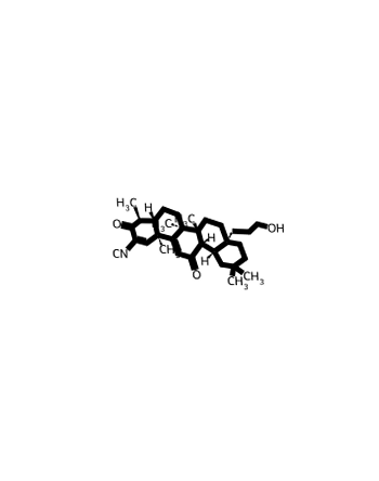 [C-]#[N+]C1=C[C@]2(C)C3=CC(=O)[C@@H]4[C@@H]5CC(C)(C)CC[C@]5(CCCO)CC[C@@]4(C)[C@]3(C)CC[C@H]2[C@H](C)C1=O